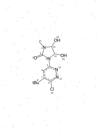 CN1C(=O)N(c2cc(C(C)(C)C)c(Cl)nn2)C(O)C1O